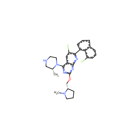 C[C@@H]1CNCCN1c1nc(OC[C@@H]2CCCN2C)nc2nc(-c3cccc4cccc(F)c34)c(F)cc12